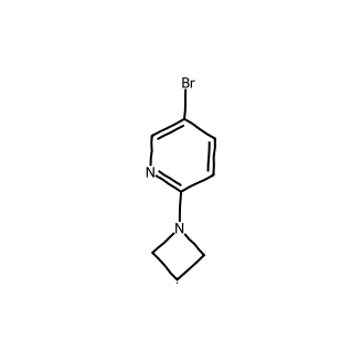 Brc1ccc(N2C[CH]C2)nc1